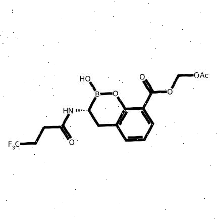 CC(=O)OCOC(=O)c1cccc2c1OB(O)[C@@H](NC(=O)CCC(F)(F)F)C2